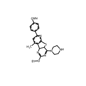 CCOC1=NC2c3c(C)cc(-c4ccc(OC)cc4)nc3SC2C(N2CCNCC2)=N1